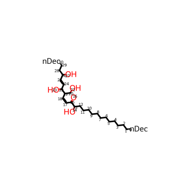 CCCCCCCCCCCCCCCCCCCCCCC(O)C(=O)/C=C\C(CO)C(O)/C=C/C(O)CCCCCCCCCCCC